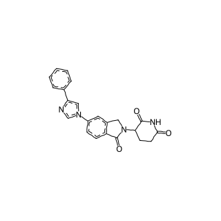 O=C1CCC(N2Cc3cc(-n4cnc(-c5ccccc5)c4)ccc3C2=O)C(=O)N1